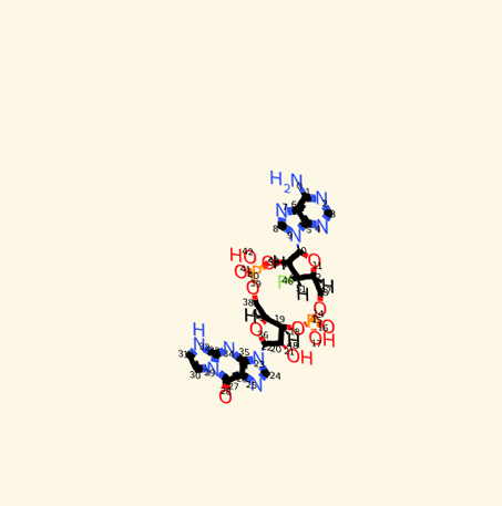 Nc1ncnc2c1ncn2[C@@H]1O[C@@H]2COP(=O)(O)O[C@H]3[C@@H](O)[C@H](n4cnc5c(=O)n6cc[nH]c6nc54)O[C@@H]3COP(=O)(O)O[C@@H]1[C@H]2F